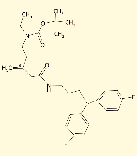 CCN(CC[C@H](C)CC(=O)NCCCC(c1ccc(F)cc1)c1ccc(F)cc1)C(=O)OC(C)(C)C